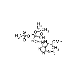 COC(C)c1nn([C@@H]2O[C@H](COS(N)(=O)=O)[C@H]3OC(C)(C)O[C@H]32)c2ncnc(N)c12